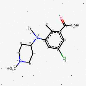 CCN(c1cc(Cl)cc(C(=O)OC)c1C)C1CCN(C(=O)O)CC1